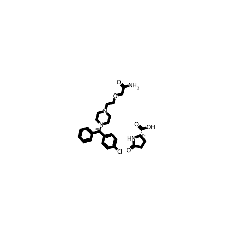 NC(=O)COCCN1CCN([C@H](c2ccccc2)c2ccc(Cl)cc2)CC1.O=C1CC[C@@H](C(=O)O)N1